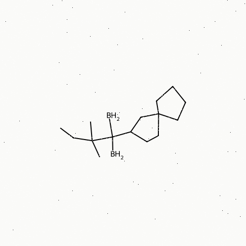 BC(B)(C1CCC2(CCCC2)C1)C(C)(C)CC